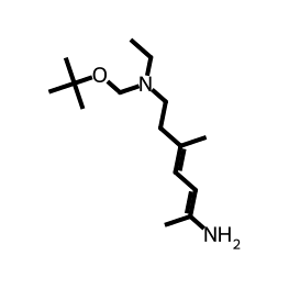 CCN(CC/C(C)=C/C=C(\C)N)COC(C)(C)C